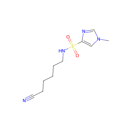 Cn1cnc(S(=O)(=O)NCCCCCC#N)c1